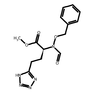 COC(=O)[C@H](CCc1nnn[nH]1)N(C=O)OCc1ccccc1